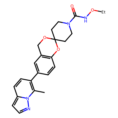 CCONC(=O)N1CCC2(CC1)OCc1cc(-c3ccc4ccnn4c3C)ccc1O2